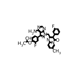 Cc1ccc2nc(Cn3nc(-c4ccc(OC(C)C)c(F)c4)c4c(N)ncnc43)c(-c3cccc(F)c3)c(=O)n2c1